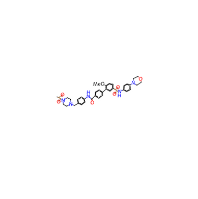 COc1ccc(S(=O)(=O)Nc2ccc(N3CCOCC3)cc2)cc1-c1ccc(C(=O)Nc2ccc(CN3CCN(S(C)(=O)=O)CC3)cc2)cc1